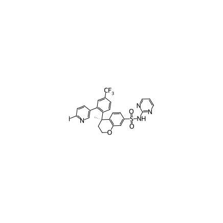 C[C@@]1(c2ccc(C(F)(F)F)cc2-c2ccc(I)nc2)CCOc2cc(S(=O)(=O)Nc3ncccn3)ccc21